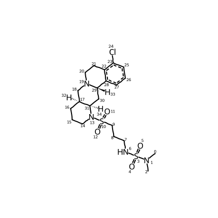 CN(C)S(=O)(=O)NCCCS(=O)(=O)N1CCC[C@H]2CN3CCc4c(Cl)cccc4[C@@H]3C[C@H]21